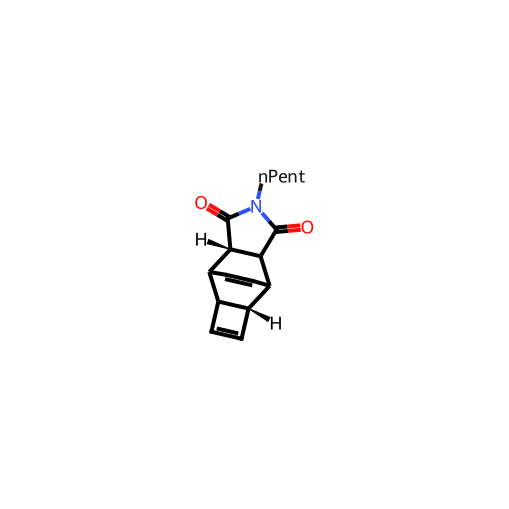 CCCCCN1C(=O)C2C3C=CC(C4C=C[C@H]43)[C@@H]2C1=O